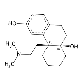 CN(C)CC[C@]12CCCC[C@@]1(O)CCc1ccc(O)cc12